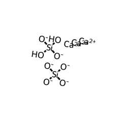 [Ca+2].[Ca+2].[Ca+2].[O-][Si]([O-])(O)O.[O-][Si]([O-])([O-])[O-]